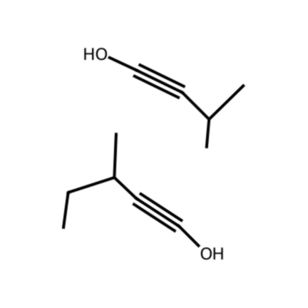 CC(C)C#CO.CCC(C)C#CO